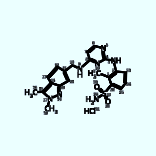 Cc1c(Nc2nccc(NCc3ccc4c(C)n(C)nc4c3)n2)cccc1S(N)(=O)=O.Cl